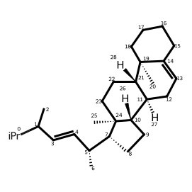 CC(C)C(C)C=C[C@@H](C)[C@H]1CC[C@H]2[C@@H]3CC=C4CCCC[C@]4(C)[C@H]3CC[C@]12C